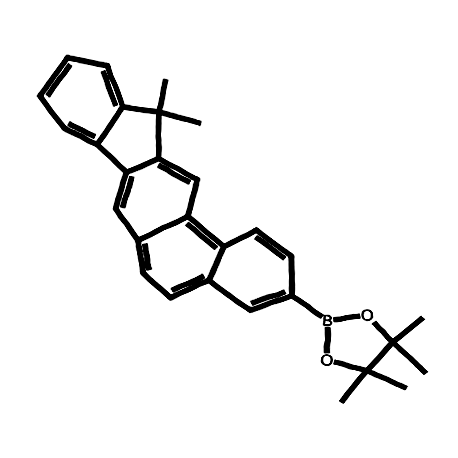 CC1(C)c2ccccc2-c2cc3ccc4cc(B5OC(C)(C)C(C)(C)O5)ccc4c3cc21